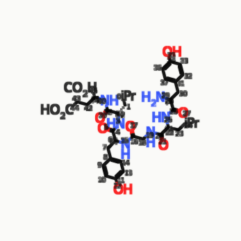 CC(C)C[C@H](NC(=O)[C@H](Cc1ccc(O)cc1)NC(=O)CNC(=O)[C@H](CC(C)C)NC(=O)[C@@H](N)Cc1ccc(O)cc1)C(=O)N[C@@H](CCC(=O)O)C(=O)O